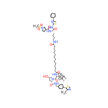 Cc1ncsc1-c1ccc(CNC(=O)[C@@H]2C[C@@H](O)CN2C(=O)[C@@H](NC(=O)CCCCCCCCCCCCC(=O)NCCCC[C@H](NC(=O)c2ccn(S(C)(=O)=O)c2)C(=O)Nc2nc(-c3ccccc3)cs2)C(C)(C)C)cc1